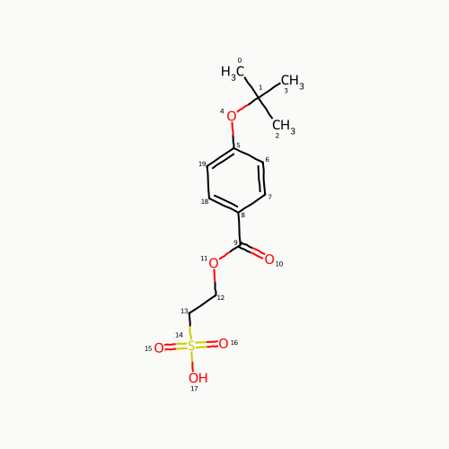 CC(C)(C)Oc1ccc(C(=O)OCCS(=O)(=O)O)cc1